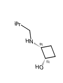 CC(C)CN[C@@H]1CC[C@@H]1O